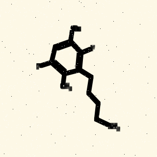 Cc1c(F)cc(C(C)(C)C)c(F)c1CCCCN